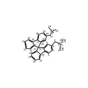 CCN(CC)Cc1ccc2c(c1)C1(c3ccccc3-c3ccc(CN(C)C)cc31)c1ccccc1-2